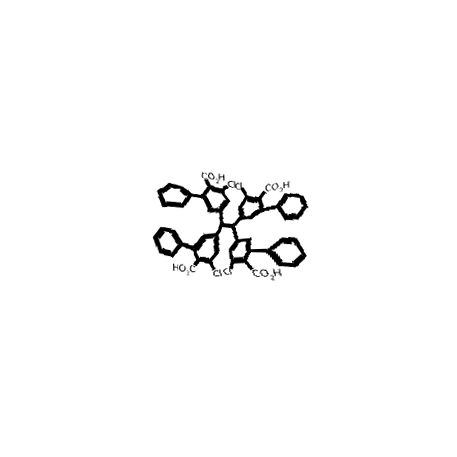 O=C(O)c1c(Cl)cc(C(c2cc(Cl)c(C(=O)O)c(-c3ccccc3)c2)C(c2cc(Cl)c(C(=O)O)c(-c3ccccc3)c2)c2cc(Cl)c(C(=O)O)c(-c3ccccc3)c2)cc1-c1ccccc1